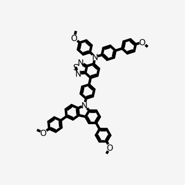 COc1ccc(-c2ccc(N(c3ccc(OC)cc3)c3ccc(-c4ccc(-n5c6ccc(-c7ccc(OC)cc7)cc6c6cc(-c7ccc(OC)cc7)ccc65)cc4)c4nsnc34)cc2)cc1